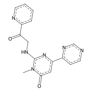 Cn1c(NCC(=O)c2ccccn2)nc(-c2ccncn2)cc1=O